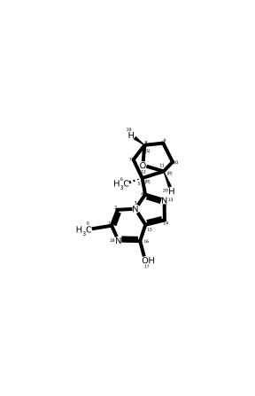 Cc1cn2c([C@@]3(C)C[C@@H]4CC[C@H]3O4)ncc2c(O)n1